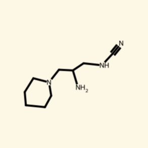 N#CNCC(N)CN1CCCCC1